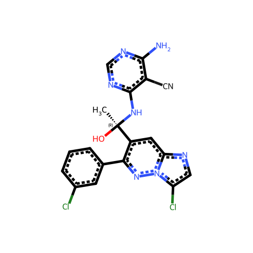 C[C@](O)(Nc1ncnc(N)c1C#N)c1cc2ncc(Cl)n2nc1-c1cccc(Cl)c1